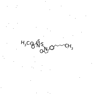 CCCCCCc1ccc(C2CCC(=O)N2CCSc2nc(C(=O)OCC)cs2)cc1